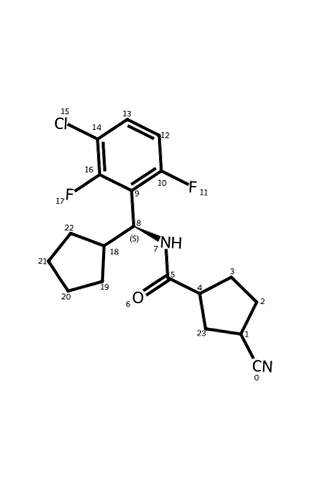 N#CC1CCC(C(=O)N[C@H](c2c(F)ccc(Cl)c2F)C2CCCC2)C1